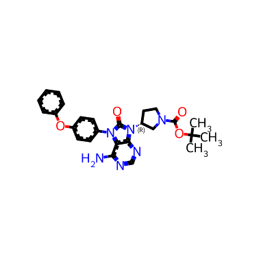 CC(C)(C)OC(=O)N1CC[C@@H](n2c(=O)n(-c3ccc(Oc4ccccc4)cc3)c3c(N)ncnc32)C1